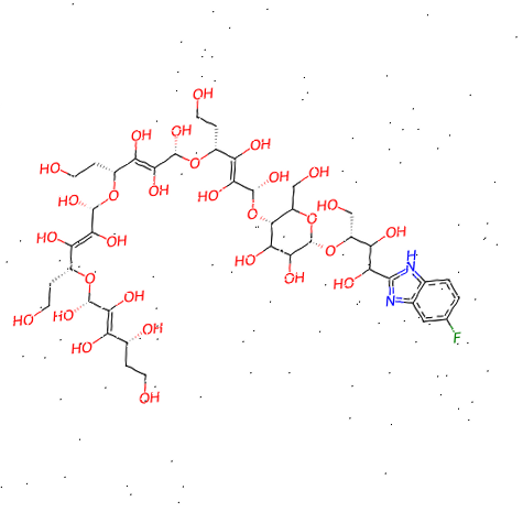 OCC[C@@H](O)/C(O)=C(\O)[C@H](O)O[C@H](CCO)/C(O)=C(\O)[C@H](O)O[C@H](CCO)/C(O)=C(\O)[C@H](O)O[C@H](CCO)/C(O)=C(\O)[C@H](O)O[C@@H]1C(CO)O[C@H](O[C@H](CO)C(O)C(O)c2nc3cc(F)ccc3[nH]2)C(O)C1O